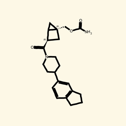 NC(=O)OC[C@@]12CC1[C@H](C(=O)N1CCC(c3ccc4c(c3)CCC4)CC1)C2